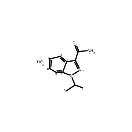 CC(C)n1nc(C(N)=O)c2ccccc21.Cl